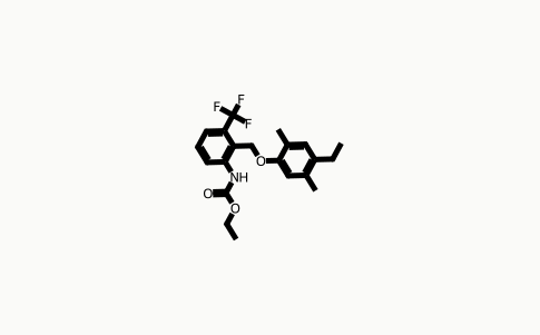 CCOC(=O)Nc1cccc(C(F)(F)F)c1COc1cc(C)c(CC)cc1C